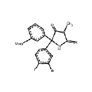 COc1cccc(C2(c3ccc(F)c(Br)c3)NC(=S)N(C)C2=O)c1